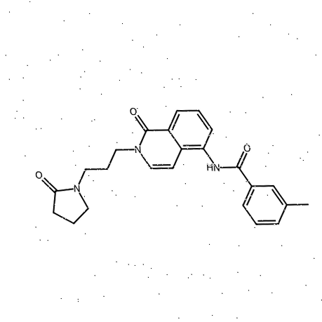 Cc1cccc(C(=O)Nc2cccc3c(=O)n(CCCN4CCCC4=O)ccc23)c1